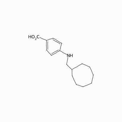 O=C(O)c1ccc(NCC2CCCCCCC2)cc1